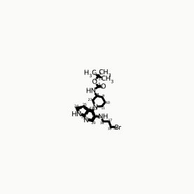 CC(C)(C)OC(=O)NC1CCCN(c2c(NCCCBr)cnc3[nH]ccc23)C1